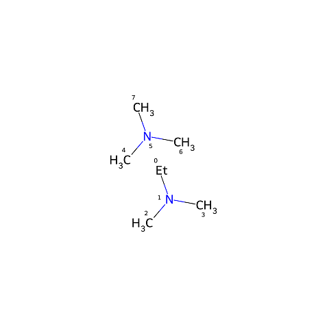 CCN(C)C.CN(C)C